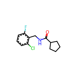 O=C(NCc1c(F)cccc1Cl)C1CCCC1